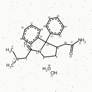 CN(C)CC(=O)N1CCC(CC(N)=O)C1(c1ccccc1)c1ccccc1.Cl.O